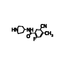 Cc1cc(F)c(C(=O)NC2CCNCC2)cc1C#N